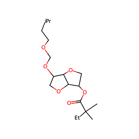 CCC(C)(C)C(=O)OC1COC2C(OCOCCC(C)C)COC12